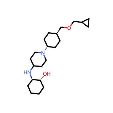 O[C@@H]1CCCC[C@H]1NC1CCN([C@H]2CC[C@H](COCC3CC3)CC2)CC1